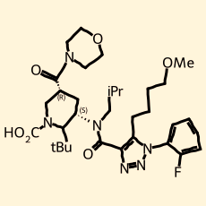 COCCCCc1c(C(=O)N(CC(C)C)[C@H]2C[C@@H](C(=O)N3CCOCC3)CN(C(=O)O)C2C(C)(C)C)nnn1-c1ccccc1F